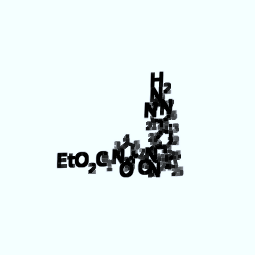 CCOC(=O)Cn1cccc(-c2nc(C3(c4ccc(-c5cnc(N)nc5)cc4)CCC3)no2)c1=O